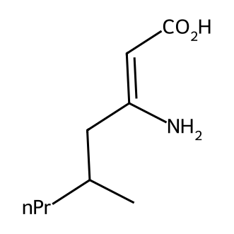 CCCC(C)CC(N)=CC(=O)O